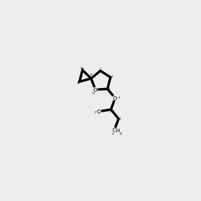 CCC([O])OC1CCC2(CC2)O1